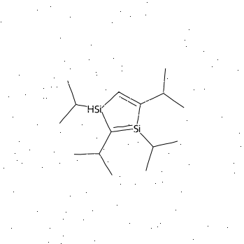 CC(C)C1=C[SiH](C(C)C)C(C(C)C)=[Si]1C(C)C